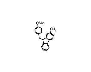 COc1ccc(CC2c3ccccc3-c3ccc(C)cc32)cc1